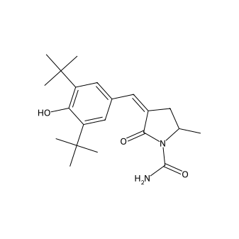 CC1CC(=Cc2cc(C(C)(C)C)c(O)c(C(C)(C)C)c2)C(=O)N1C(N)=O